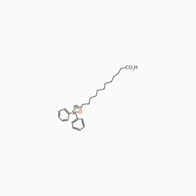 CC(C)(C)[Si](OCCCCCCCCCCCC(=O)O)(c1ccccc1)c1ccccc1